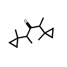 CC(C(=O)C(C)C1(C)CC1)C1(C)CC1